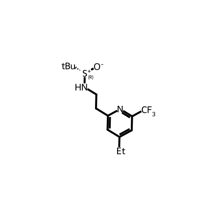 CCc1cc(CCN[S@@+]([O-])C(C)(C)C)nc(C(F)(F)F)c1